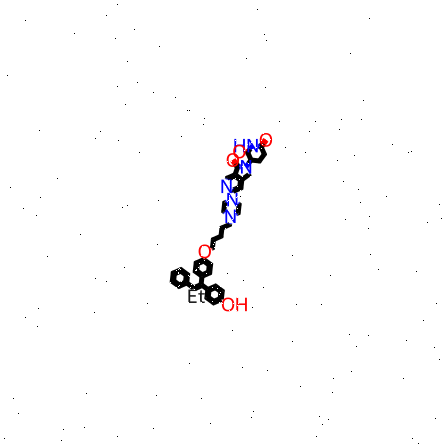 CC/C(=C(\c1ccc(O)cc1)c1ccc(OCCCCCN2CCN(c3cc4c(cn3)C(=O)N(C3CCC(=O)NC3=O)C4)CC2)cc1)c1ccccc1